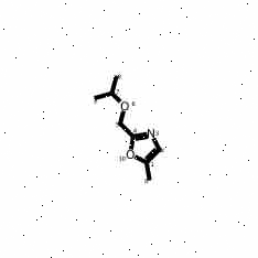 Cc1cnc(COC(C)C)o1